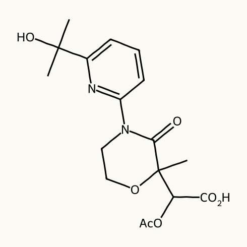 CC(=O)OC(C(=O)O)C1(C)OCCN(c2cccc(C(C)(C)O)n2)C1=O